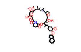 CCC1/C=C(\C)CC(C)CC(OC)C2OC(O)(C(=O)C(=O)N3CCCCC3C(=O)OC(C(C)=CC3CCC(Oc4ccc5ccccc5c4)C(OC)C3)C(C)C(O)CC1=O)C(C)CC2OC